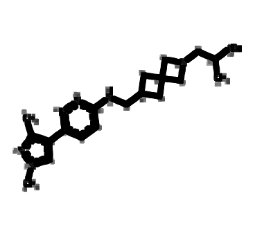 Cc1nn(C)cc1-c1ccc(NCC2CC3(C2)CN(CC(C)C(C)(C)C)C3)nn1